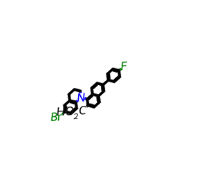 O=C(O)c1ccc2cc(-c3ccc(F)cc3)ccc2c1N1CCCc2cc(Br)ccc21